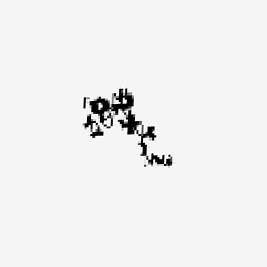 COCCN(C)CCC[C@H](C(C)C)N1CC2(CCN(c3ccnnc3Oc3ccc(F)cc3C(=O)N(C(C)C)C(C)C)C2)C1